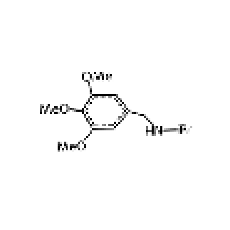 COc1cc(CNC(C)C)cc(OC)c1OC